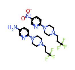 Nc1ccc(N2CCN(CCC(F)(F)F)CC2)nc1.O=[N+]([O-])c1ccc(N2CCN(CCC(F)(F)F)CC2)nc1